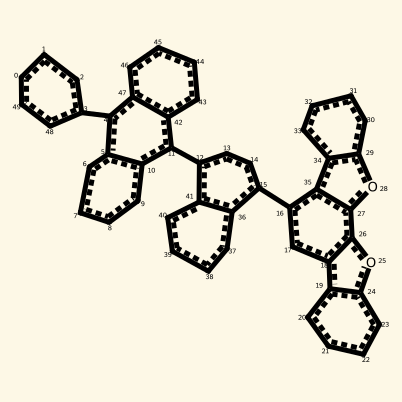 c1ccc(-c2c3ccccc3c(-c3ccc(-c4cc5c6ccccc6oc5c5oc6ccccc6c45)c4ccccc34)c3ccccc23)cc1